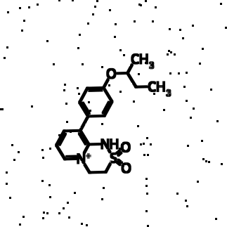 CCC(C)Oc1ccc(-c2ccc[n+]3c2NS(=O)(=O)CC3)cc1